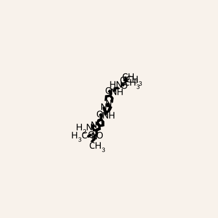 CCCN(OCC)C(=O)C1=Cc2ccc(C(=O)Nc3ccc(N4CCC(C(=O)NCCNC(=O)OC(C)(C)C)CC4)nc3)cc2N=C(N)C1